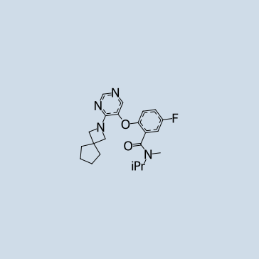 CC(C)N(C)C(=O)c1cc(F)ccc1Oc1cncnc1N1CC2(CCCC2)C1